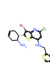 N[C@H]1CC=CC[C@@H]1c1sc2c(NCc3cccs3)cc(Cl)nc2c1Br